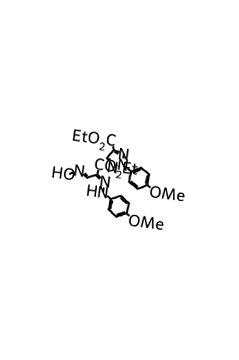 CCOC(=O)C(/C=N/O)=N/Nc1ccc(OC)cc1.CCOC(=O)c1cnn(-c2ccc(OC)cc2)n1